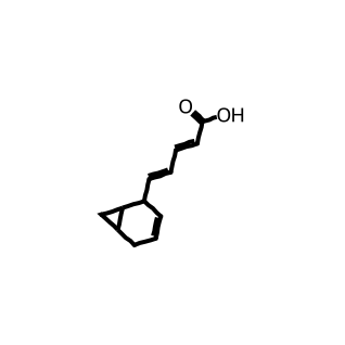 O=C(O)C=CC=CC1C=CCC2CC12